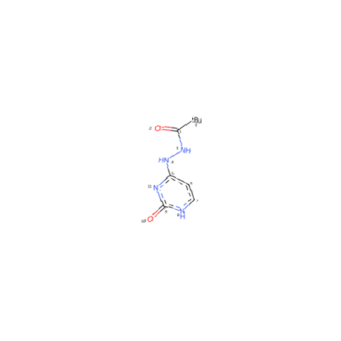 CC(C)(C)C(=O)NNc1cc[nH]c(=O)n1